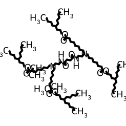 CCCCCC(CCCCC)CCCOC(=O)CCCCCCCN(CCCCCCCC(=O)OCCCC(CCCCC)CCCCC)CCNC(=O)CCC(=O)NCCN(CCCCCCC(C)(C)C(=O)OCCCC(CCCCC)CCCCC)CCCCCCC(C)(C)C(=O)OCCCC(CCCCC)CCCCC